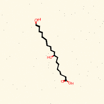 O=C(O)CCCCCCCC(O)CCCCCCCCCCO